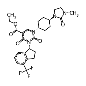 CCOC(=O)c1cn([C@H]2CC[C@H](N3CCN(C)C3=O)CC2)c(=O)n([C@@H]2CCc3c2cccc3C(F)(F)F)c1=O